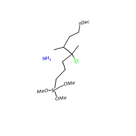 CCCCCCCCCCCCC(C)C(C)(Cl)CCC[Si](OC)(OC)OC.N